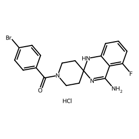 Cl.NC1=NC2(CCN(C(=O)c3ccc(Br)cc3)CC2)Nc2cccc(F)c21